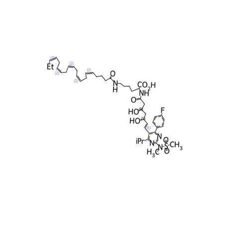 CC/C=C\C/C=C\C/C=C\C/C=C\C/C=C\CCCC(=O)NCCCCC(NC(=O)C[C@H](O)C[C@H](O)/C=C/c1c(-c2ccc(F)cc2)nc(N(C)S(C)(=O)=O)nc1C(C)C)C(=O)O